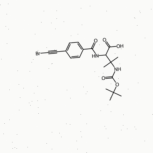 CC(C)(C)OC(=O)NC(C)(C)C(NC(=O)c1ccc(C#CBr)cc1)C(=O)O